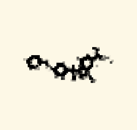 CC(C)C(C)(c1ccc(OCc2ccccn2)cc1)c1cn(C)c2cc(C(N)=O)ccc12